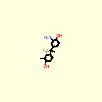 Cc1cc([C@@](C)(c2ccc(O)c(N)c2)C(F)(F)F)ccc1O